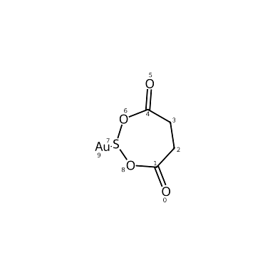 O=C1CCC(=O)OSO1.[Au]